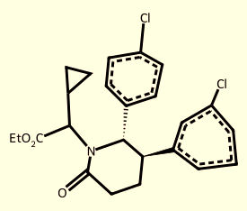 CCOC(=O)C(C1CC1)N1C(=O)CC[C@H](c2cccc(Cl)c2)[C@H]1c1ccc(Cl)cc1